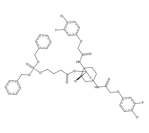 O=C(COc1ccc(Cl)c(F)c1)NC12CCC(NC(=O)COc3ccc(Cl)c(F)c3)(CC1)[C@@H](OC(=O)CCCOP(=O)(OCc1ccccc1)OCc1ccccc1)C2